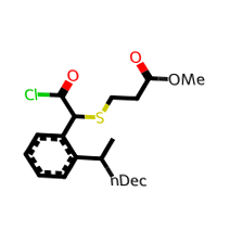 CCCCCCCCCCC(C)c1ccccc1C(SCCC(=O)OC)C(=O)Cl